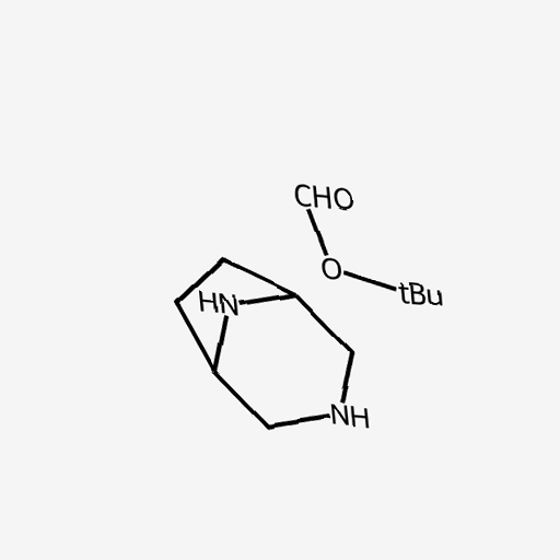 C1CC2CNCC1N2.CC(C)(C)OC=O